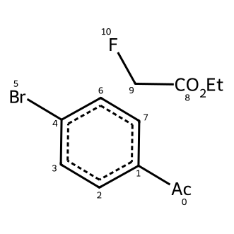 CC(=O)c1ccc(Br)cc1.CCOC(=O)CF